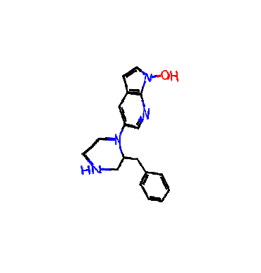 On1ccc2cc(N3CCNCC3Cc3ccccc3)cnc21